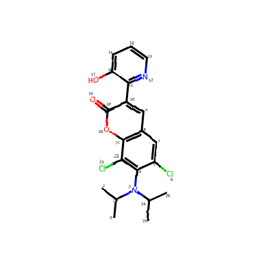 CC(C)N(c1c(Cl)cc2cc(-c3ncccc3O)c(=O)oc2c1Cl)C(C)C